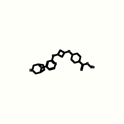 CC(C)(C)OC(=O)N1CCC(OC2CC(Oc3cc(N4C5CCC4CNC5)ccn3)C2)CC1